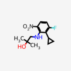 CC(C)(O)CNc1c([N+](=O)[O-])ccc(F)c1C1CC1